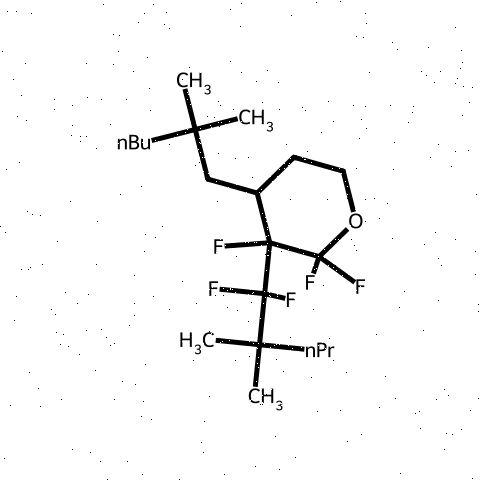 CCCCC(C)(C)CC1CCOC(F)(F)C1(F)C(F)(F)C(C)(C)CCC